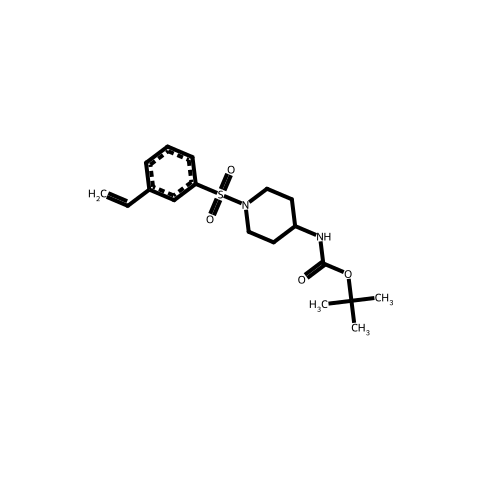 C=Cc1cccc(S(=O)(=O)N2CCC(NC(=O)OC(C)(C)C)CC2)c1